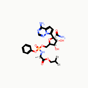 CCC(CC)COC(=O)[C@H](C)NP(=O)(OCC1O[C@@](C(N)=O)(c2ccc3c(N)ncnn23)[C@H](O)[C@@H]1O)Oc1ccccc1